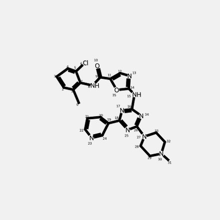 Cc1cccc(Cl)c1NC(=O)c1cnc(Nc2nc(-c3cccnc3)nc(N3CCN(C)CC3)n2)o1